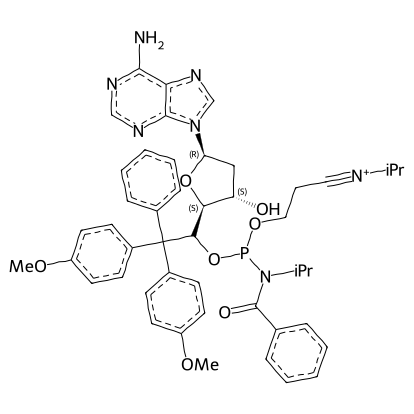 COc1ccc(C(c2ccccc2)(c2ccc(OC)cc2)C(OP(OCCC#[N+]C(C)C)N(C(=O)c2ccccc2)C(C)C)[C@H]2O[C@@H](n3cnc4c(N)ncnc43)C[C@@H]2O)cc1